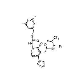 Cc1cc(COC(=O)Nc2cnc(-c3cccs3)n(CC(=O)NC(C(=O)C(F)(F)F)C(C)C)c2=O)cc(C)n1